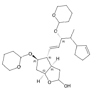 CC(C1C=CCC1)[C@H](C=C[C@@H]1[C@H]2CC(O)O[C@H]2C[C@H]1OC1CCCCO1)OC1CCCCO1